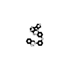 N#Cc1ccccc1COc1cccc(Oc2ccc(-n3c4c(c5ncnc(N)c53)COC4)cc2)c1